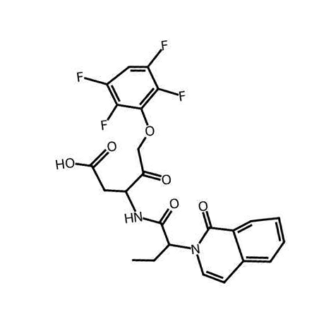 CCC(C(=O)NC(CC(=O)O)C(=O)COc1c(F)c(F)cc(F)c1F)n1ccc2ccccc2c1=O